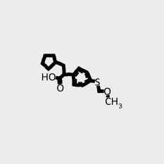 COCSc1ccc(C(CC2CCCC2)C(=O)O)cc1